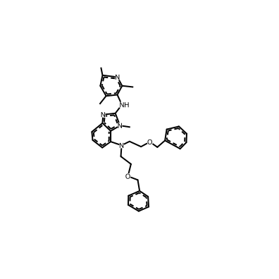 Cc1cc(C)c(Nc2nc3cccc(N(CCOCc4ccccc4)CCOCc4ccccc4)c3n2C)c(C)n1